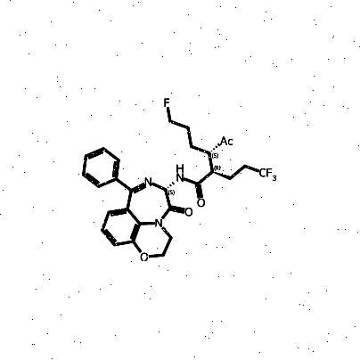 CC(=O)[C@@H](CCCF)[C@@H](CCC(F)(F)F)C(=O)N[C@H]1N=C(c2ccccc2)c2cccc3c2N(CCO3)C1=O